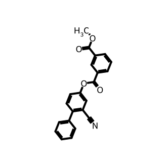 COC(=O)c1cccc(C(=O)Oc2ccc(-c3ccccc3)c(C#N)c2)c1